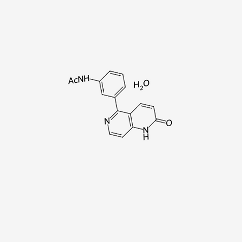 CC(=O)Nc1cccc(-c2nccc3[nH]c(=O)ccc23)c1.O